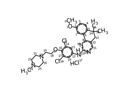 COc1ccc2c(c1)-c1nc(Nc3cc(Cl)c(OCCN4CCN(C)CC4)c(Cl)c3)ncc1CC2(C)C.Cl